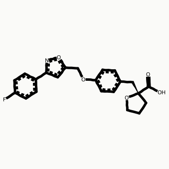 O=C(O)[C@]1(Cc2ccc(OCc3cc(-c4ccc(F)cc4)no3)cc2)CCCO1